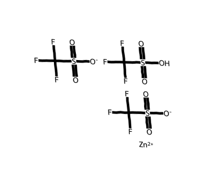 O=S(=O)(O)C(F)(F)F.O=S(=O)([O-])C(F)(F)F.O=S(=O)([O-])C(F)(F)F.[Zn+2]